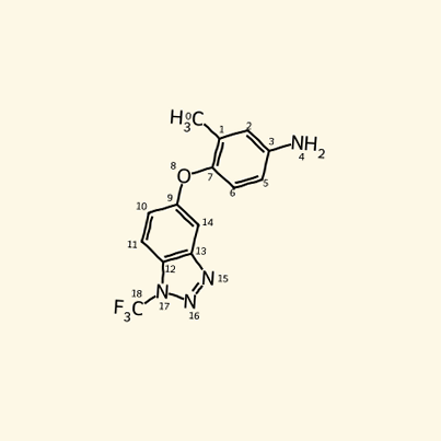 Cc1cc(N)ccc1Oc1ccc2c(c1)nnn2C(F)(F)F